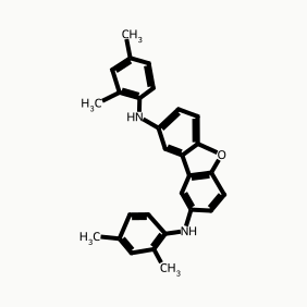 Cc1ccc(Nc2ccc3oc4ccc(Nc5ccc(C)cc5C)cc4c3c2)c(C)c1